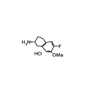 COc1cc2c(cc1F)CC[C@H](N)C2.Cl